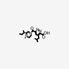 CCC(C)[C@H]1CN(C(=O)c2cc(CC(C)C)c(C(=O)O)nn2)CCN1C